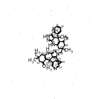 Cc1[nH]nc2c1C(C)(c1cccnc1)C1=C(CC(C)(Cn3nc4c(c3C3CC3)C(C)(c3cncnc3)C3=C(CC(C)(C)CC3=O)N4)CC1=O)N2